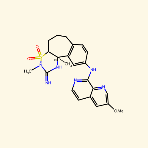 COc1cnc2c(Nc3ccc4c(c3)[C@@]3(C)NC(=N)N(C)S(=O)(=O)C3CCC4)nccc2c1